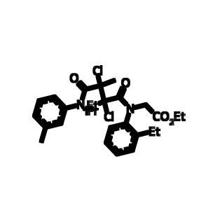 CCOC(=O)CN(C(=O)C(Cl)(CC)C(C)(Cl)C(=O)N(c1cccc(C)c1)C(C)C)c1ccccc1CC